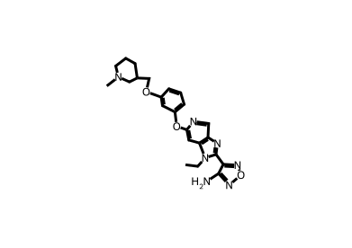 CCn1c(-c2nonc2N)nc2cnc(Oc3cccc(OCC4CCCN(C)C4)c3)cc21